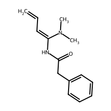 C=C/C=C(/NC(=O)Cc1ccccc1)N(C)C